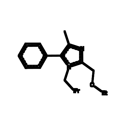 CCOCc1nc(C)c(-c2ccccc2)n1CC(C)C